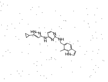 Cc1c(CNc2nccc(Nc3cc(C4CC4)[nH]n3)n2)ccc2cc[nH]c12